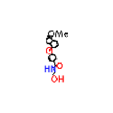 CO[C@@H]1CCc2c(Oc3ccc(C(=O)NCCO)cc3)cccc21